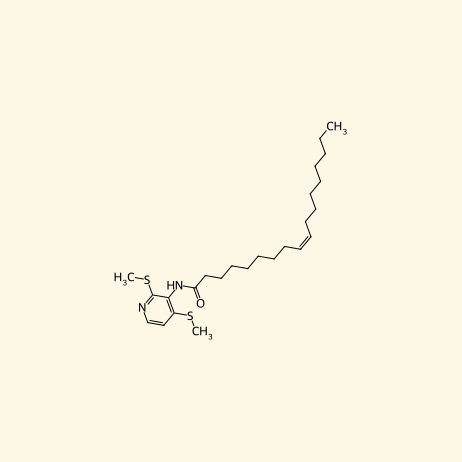 CCCCCCCC/C=C\CCCCCCCC(=O)Nc1c(SC)ccnc1SC